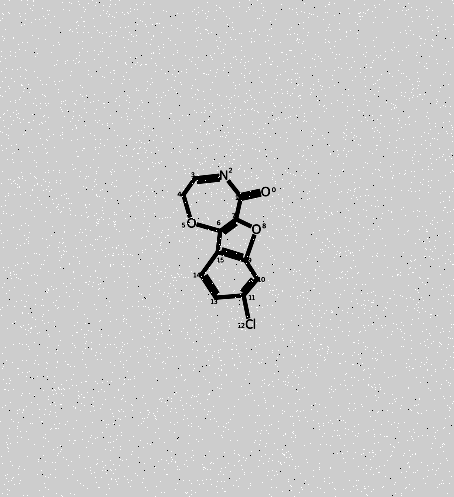 O=C1N=CCOc2c1oc1cc(Cl)ccc21